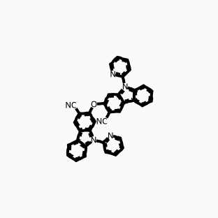 N#Cc1cc2c3ccccc3n(-c3ccccn3)c2cc1Oc1cc2c(cc1C#N)c1ccccc1n2-c1ccccn1